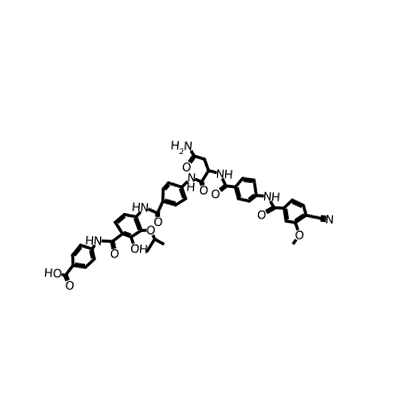 COc1cc(C(=O)Nc2ccc(C(=O)NC(CC(N)=O)C(=O)Nc3ccc(C(=O)Nc4ccc(C(=O)Nc5ccc(C(=O)O)cc5)c(O)c4OC(C)C)cc3)cc2)ccc1C#N